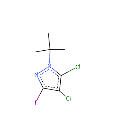 CC(C)(C)n1nc(I)c(Cl)c1Cl